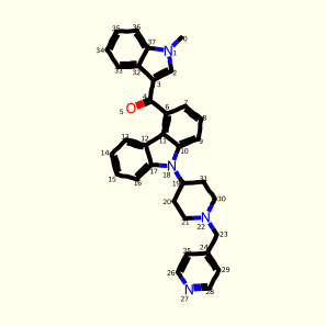 Cn1cc(C(=O)c2cccc3c2c2ccccc2n3C2CCN(Cc3ccncc3)CC2)c2ccccc21